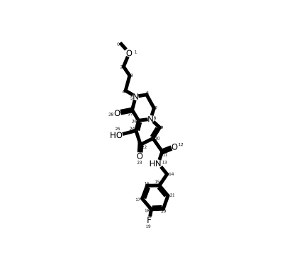 COCCCN1CCn2cc(C(=O)NCc3ccc(F)cc3)c(=O)c(O)c2C1=O